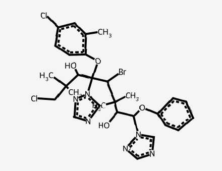 Cc1cc(Cl)ccc1OC(C(O)C(C)(C)CCl)(C(Br)C(C)(C)C(O)C(Oc1ccccc1)n1cncn1)n1cncn1